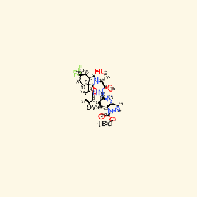 COc1ccc(C2(C(=O)N(C)[C@H](CO)C(=O)Nc3ccc4c(cnn4C(=O)OC(C)(C)C)n3)CCC(F)(F)CC2)cc1